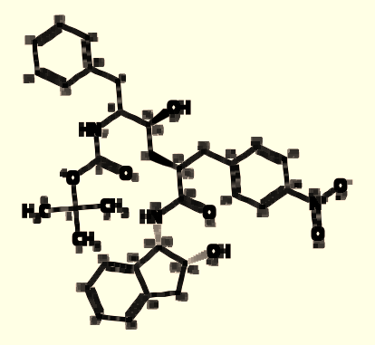 CC(C)(C)OC(=O)NC(Cc1ccccc1)[C@@H](O)C[C@@H](Cc1ccc([N+](=O)[O-])cc1)C(=O)N[C@H]1c2ccccc2C[C@H]1O